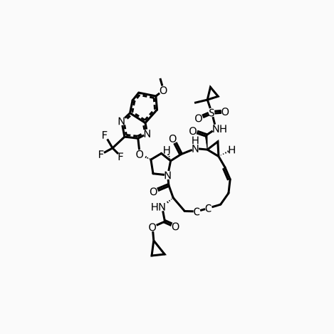 COc1ccc2nc(C(F)(F)F)c(O[C@@H]3C[C@H]4C(=O)N[C@]5(C(=O)NS(=O)(=O)C6(C)CC6)C[C@H]5/C=C\CCCCC[C@H](NC(=O)OC5CC5)C(=O)N4C3)nc2c1